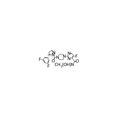 CN(O)C(=O)c1nc(N2CCN(C(=O)N3N=CC[C@H]3c3cc(F)cc(F)c3)CC2)ncc1F